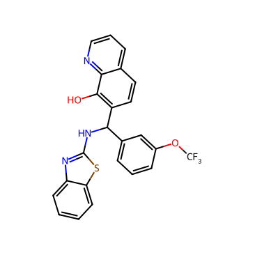 Oc1c(C(Nc2nc3ccccc3s2)c2cccc(OC(F)(F)F)c2)ccc2cccnc12